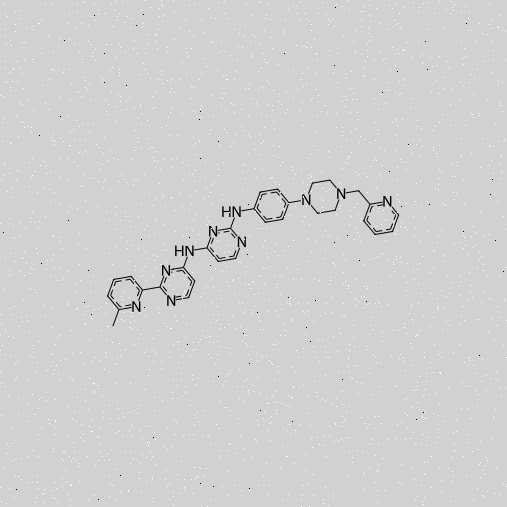 Cc1cccc(-c2nccc(Nc3ccnc(Nc4ccc(N5CCN(Cc6ccccn6)CC5)cc4)n3)n2)n1